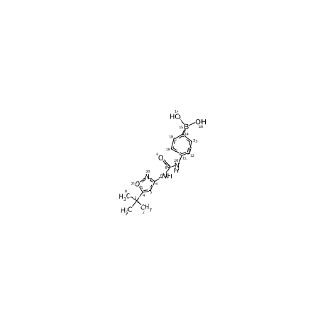 CC(C)(C)c1cc(NC(=O)Nc2ccc(B(O)O)cc2)no1